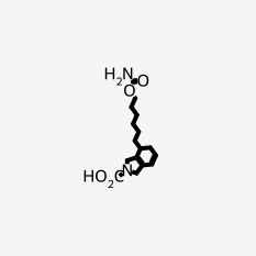 NC(=O)OCCCCCCC1CC=CC2=C1CN(C(=O)O)C2